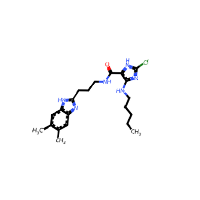 CCCCCNc1nc(Cl)[nH]c1C(=O)NCCCc1nc2cc(C)c(C)cc2[nH]1